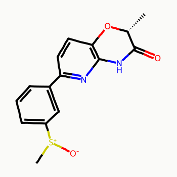 C[C@H]1Oc2ccc(-c3cccc([S+](C)[O-])c3)nc2NC1=O